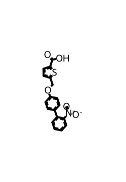 O=C(O)c1ccc(COc2ccc(-c3ccccc3[N+](=O)[O-])cc2)s1